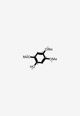 COc1cc(OC)c(OC)cc1O